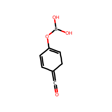 O=C=C1C=CC(OB(O)O)=CC1